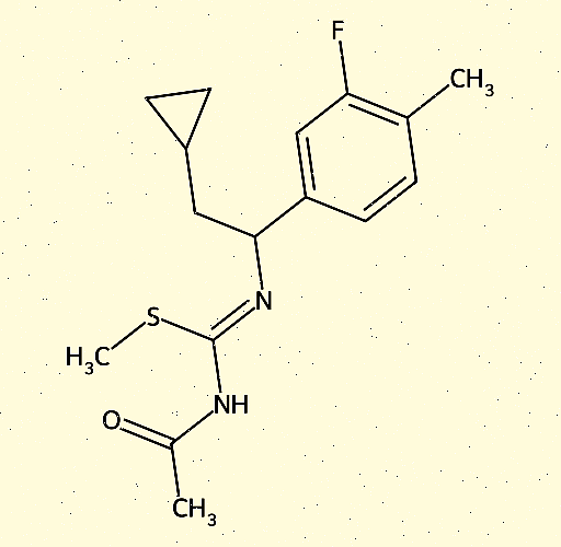 CS/C(=N\C(CC1CC1)c1ccc(C)c(F)c1)NC(C)=O